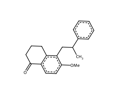 COc1ccc2c(c1CC(C)c1ccccc1)CCCC2=O